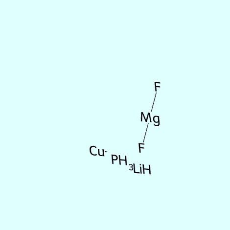 P.[Cu].[F][Mg][F].[LiH]